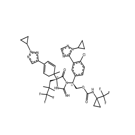 CC(C)(C[C@]1(C2(C)C=CC(c3cnn(C4CC4)n3)=CC2)NC(=N)N([C@H](COC(=O)NC2(C(F)(F)F)CC2)c2ccc(Cl)c(-c3ncnn3C3CC3)c2)C1=O)C(F)(F)F